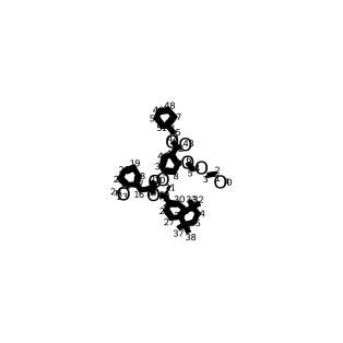 COCCOCOc1cc(OC[C@H](OC(=O)Cc2ccccc2OC)c2ccc3c(c2)C(C)(C)CCC3(C)C)ccc1C(=O)OCc1ccccc1